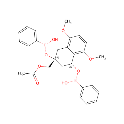 COc1ccc(OC)c2c1C[C@@](COC(C)=O)(OB(O)c1ccccc1)C[C@H]2OB(O)c1ccccc1